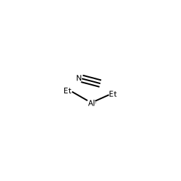 C#N.C[CH2][Al][CH2]C